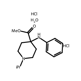 COC(=O)C1(Nc2ccccc2)CCN(C(C)C)CC1.Cl.Cl.O